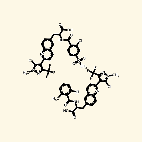 Cc1cccc(Cl)c1C(=O)NC(Cc1ccc2nc(-c3c(C(F)(F)F)nn(C)c3Cl)ccc2c1)C(=O)O.Cn1nc(C(F)(F)F)c(-c2ccc3cc(CC(NC(=O)c4ccc(S(C)(=O)=O)cc4Cl)C(=O)O)ccc3n2)c1Cl